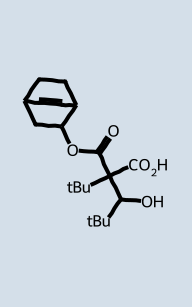 CC(C)(C)C(O)C(C(=O)O)(C(=O)OC1CC2C=CC1CC2)C(C)(C)C